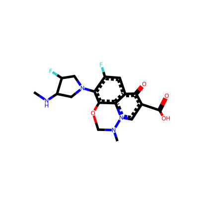 CNC1CN(c2c(F)cc3c(=O)c(C(=O)O)cn4c3c2OCN4C)CC1F